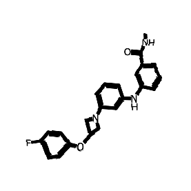 CNC(=O)c1cccc(Nc2cccc(N3CC(Oc4ccc(F)cc4)C3)c2)c1